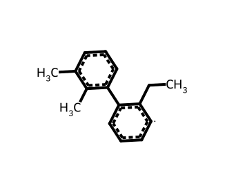 CCc1[c]cccc1-c1cccc(C)c1C